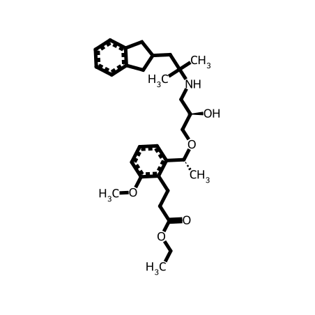 CCOC(=O)CCc1c(OC)cccc1[C@@H](C)OC[C@H](O)CNC(C)(C)CC1Cc2ccccc2C1